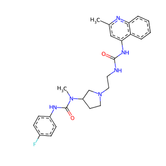 Cc1cc(NC(=O)NCCN2CCC(N(C)C(=O)Nc3ccc(F)cc3)C2)c2ccccc2n1